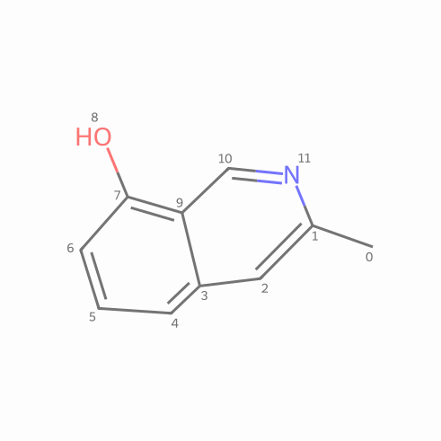 Cc1cc2cccc(O)c2cn1